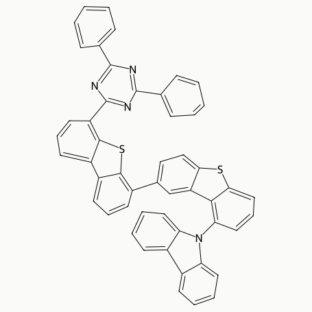 c1ccc(-c2nc(-c3ccccc3)nc(-c3cccc4c3sc3c(-c5ccc6sc7cccc(-n8c9ccccc9c9ccccc98)c7c6c5)cccc34)n2)cc1